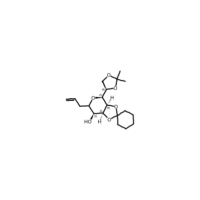 C=CCC1O[C@@H]([C@H]2COC(C)(C)O2)[C@H]2OC3(CCCCC3)O[C@H]2[C@H]1O